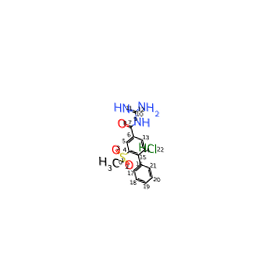 CS(=O)(=O)c1cc(C(=O)NC(=N)N)ccc1-c1ccccc1.Cl